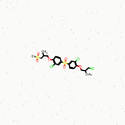 CCS(=O)(=O)CC(C)COc1ccc(S(=O)(=O)c2ccc(OCC(CCl)OC(C)=O)c(Cl)c2)cc1Cl